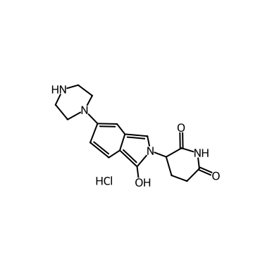 Cl.O=C1CCC(n2cc3cc(N4CCNCC4)ccc3c2O)C(=O)N1